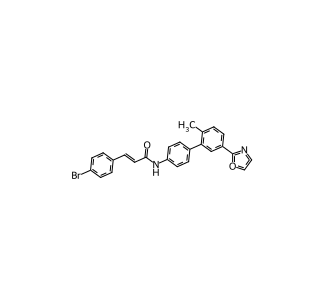 Cc1ccc(-c2ncco2)cc1-c1ccc(NC(=O)C=Cc2ccc(Br)cc2)cc1